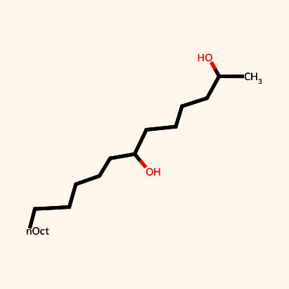 CCCCCCCCCCCCCC(O)CCCCC(C)O